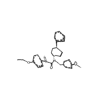 CCOc1ccc(NC(=O)N(Cc2ccc(OC)cc2)[C@H]2CC[C@H](c3ccccc3)CC2)cc1